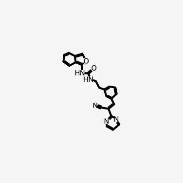 N#CC(=Cc1cccc(CCNC(=O)Nc2occ3ccccc23)c1)c1ncccn1